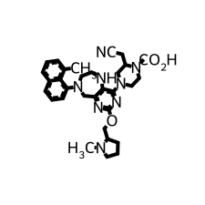 Cc1cccc2cccc(N3CCNc4c(nc(OCC5CCCN5C)nc4N4CCN(C(=O)O)C(CC#N)C4)C3)c12